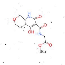 CC(C)(C)OC(=O)CNC(=O)c1c(O)c2c([nH]c1=O)COCC2